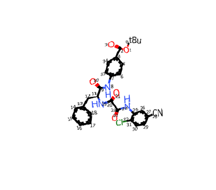 CC(C)(C)OC(=O)c1ccc(NC(=O)[C@H](Cc2ccccc2)NC(=O)C(=O)Nc2cc(C#N)ccc2Cl)cc1